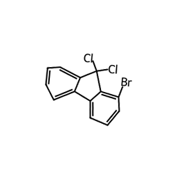 ClC1(Cl)c2ccccc2-c2cccc(Br)c21